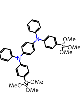 CO[Si](OC)(OC)c1ccc(N(c2ccccc2)c2ccc(N(c3ccccc3)c3ccc([Si](OC)(OC)OC)cc3)cc2)cc1